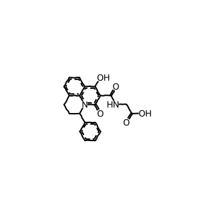 O=C(O)CNC(=O)c1c(O)c2cccc3c2n(c1=O)C(c1ccccc1)CC3